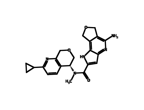 CN(C(=O)c1cc2nc(N)c3c(c2[nH]1)COC3)[C@H]1COCc2nc(C3CC3)ccc21